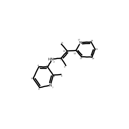 C/C(Nc1cccnc1C)=C(/C)c1ccccn1